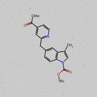 COC(=O)c1ccnc(Cc2ccc3c(c2)c(C)cn3C(=O)OC(C)(C)C)c1